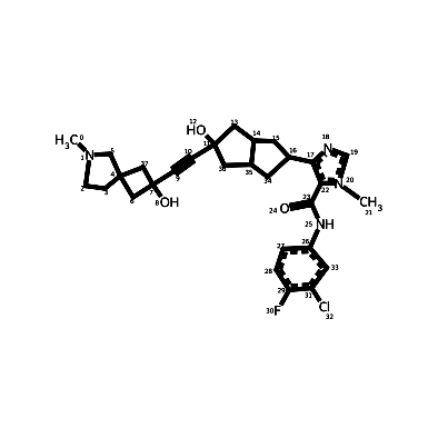 CN1CCC2(C1)CC(O)(C#CC1(O)CC3CC(c4ncn(C)c4C(=O)Nc4ccc(F)c(Cl)c4)CC3C1)C2